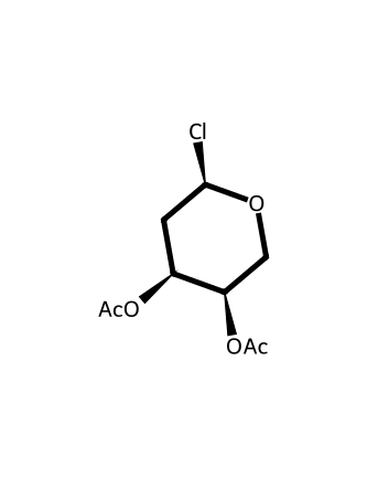 CC(=O)O[C@H]1C[C@@H](Cl)OC[C@H]1OC(C)=O